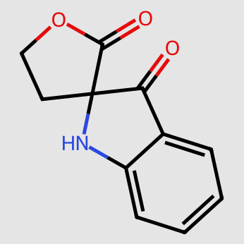 O=C1OCCC12Nc1ccccc1C2=O